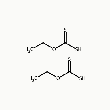 CCOC(=S)S.CCOC(=S)S